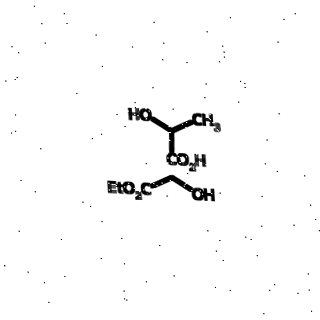 CC(O)C(=O)O.CCOC(=O)CO